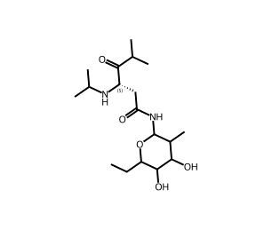 CCC1OC(NC(=O)C[C@H](NC(C)C)C(=O)C(C)C)C(C)C(O)C1O